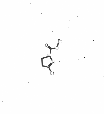 CCOC(=O)[C@@H]1CCC(CC)=N1